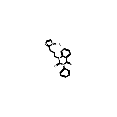 Cn1ccnc1CCCn1c(=O)n(-c2ccccc2)c(=O)c2ccccc21